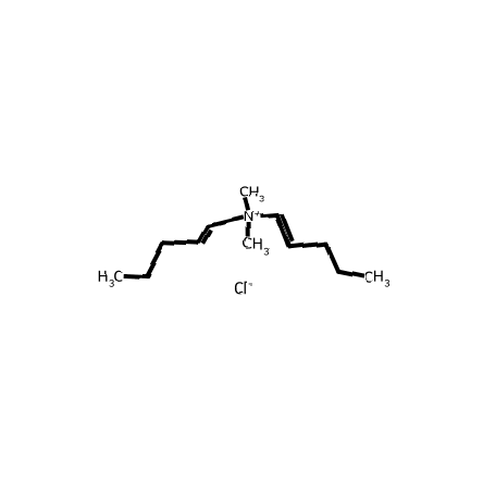 CCCC=C[N+](C)(C)C=CCCC.[Cl-]